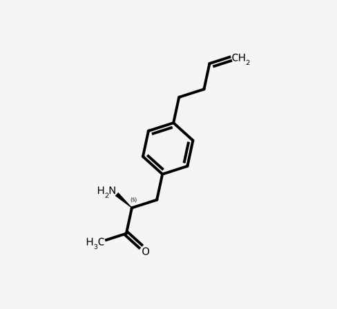 C=CCCc1ccc(C[C@H](N)C(C)=O)cc1